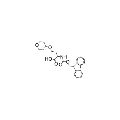 O=C(NC(CCOC1CCOCC1)C(=O)O)OCC1c2ccccc2-c2ccccc21